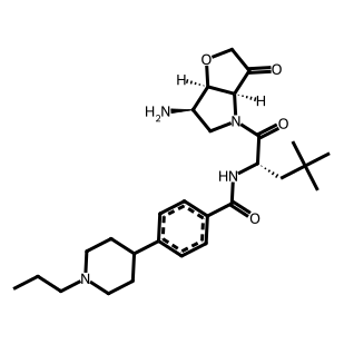 CCCN1CCC(c2ccc(C(=O)N[C@@H](CC(C)(C)C)C(=O)N3C[C@@H](N)[C@H]4OCC(=O)[C@H]43)cc2)CC1